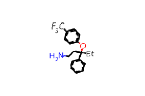 CCC(CCN)(Oc1ccc(C(F)(F)F)cc1)c1ccccc1